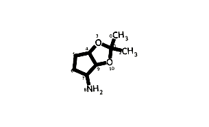 CC1(C)OC2CCC(N)C2O1